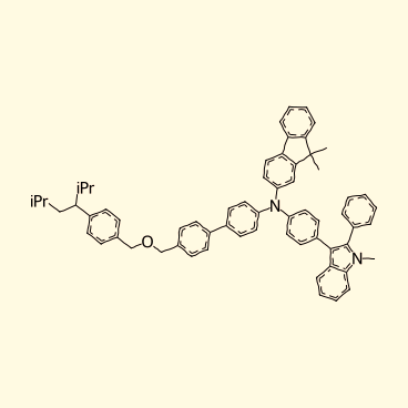 CC(C)CC(c1ccc(COCc2ccc(-c3ccc(N(c4ccc(-c5c(-c6ccccc6)n(C)c6ccccc56)cc4)c4ccc5c(c4)C(C)(C)c4ccccc4-5)cc3)cc2)cc1)C(C)C